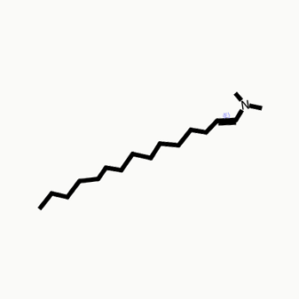 CCCCCCCCCCCCC/C=C/N(C)C